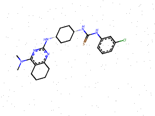 CN(C)c1nc(N[C@H]2CC[C@@H](NC(=S)Nc3cccc(Cl)c3)CC2)nc2c1CCCC2